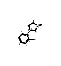 Cc1ccccc1[C@@H]1CCN(C)C1